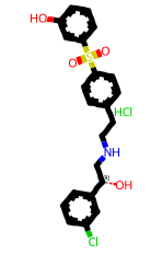 Cl.O=S(=O)(c1ccc(CCNC[C@H](O)c2cccc(Cl)c2)cc1)c1cccc(O)c1